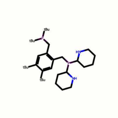 CC(C)(C)c1cc(CP(C2CCCCN2)C2CCCCN2)c(CP(C(C)(C)C)C(C)(C)C)cc1C(C)(C)C